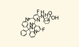 N#Cc1cc(F)c(NC2C3CCC(CC3)[C@@H]2C(=O)O)nc1-c1nn(C(c2ccccc2)(c2ccccc2)c2ccccc2)c2ncc(F)cc12